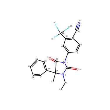 CCN1C(=O)N(c2ccc(C#N)c(C(F)(F)F)c2)C(=O)C1(C)c1cc[c]cc1